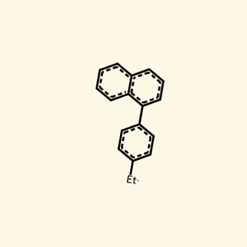 C[CH]c1ccc(-c2cccc3ccccc23)cc1